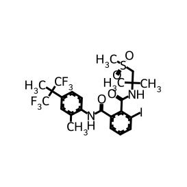 Cc1cc(C(C)(C(F)(F)F)C(F)(F)F)ccc1NC(=O)c1cccc(I)c1C(=O)NC(C)(C)CS(C)(=O)=O